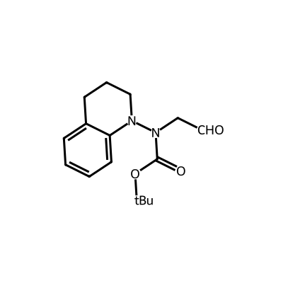 CC(C)(C)OC(=O)N(CC=O)N1CCCc2ccccc21